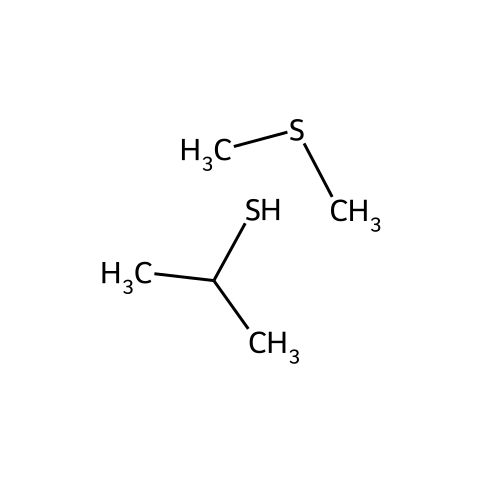 CC(C)S.CSC